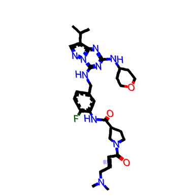 CC(C)c1cnn2c(NCc3ccc(F)c(NC(=O)C4CCN(C(=O)/C=C/CN(C)C)C4)c3)nc(NC3CCOCC3)nc12